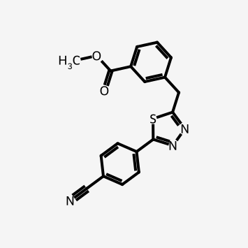 COC(=O)c1cccc(Cc2nnc(-c3ccc(C#N)cc3)s2)c1